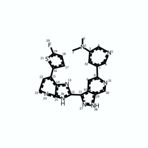 CN(C)c1cncc(-c2cc3c(-c4nc5c(-c6ccc(F)s6)ccnc5[nH]4)n[nH]c3cn2)c1